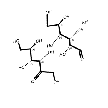 O=C(CO)[C@@H](O)[C@H](O)[C@H](O)CO.O=C[C@H](O)[C@@H](O)[C@H](O)[C@H](O)CO.[KH]